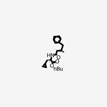 CCCCOC(=O)[C@@H](CC1CC1)NC(=O)C[C@H](C)Cc1ccccc1